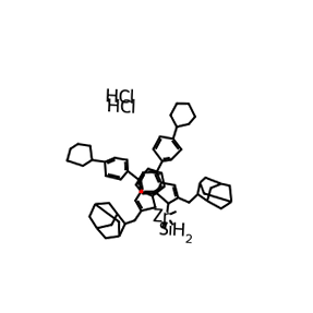 Cl.Cl.[CH3][Zr]([CH3])(=[SiH2])([CH]1C(CC2C3CC4CC(C3)CC2C4)=Cc2c(-c3ccc(C4CCCCC4)cc3)cccc21)[CH]1C(CC2C3CC4CC(C3)CC2C4)=Cc2c(-c3ccc(C4CCCCC4)cc3)cccc21